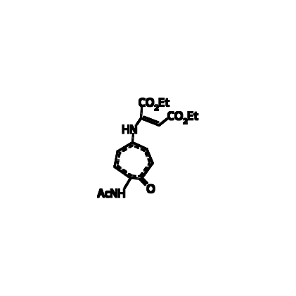 CCOC(=O)C=C(Nc1ccc(NC(C)=O)c(=O)cc1)C(=O)OCC